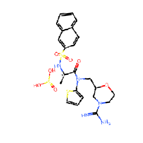 C[C@@H](NS(=O)(=O)c1ccc2ccccc2c1)C(=O)N(CC1CN(C(=N)N)CCO1)c1cccs1.O=S(O)O